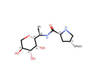 CCCCC[C@H]1CN[C@H](C(=O)N[C@H](C(C)C)[C@H]2OC[C@H](O)[C@@H](O)[C@H]2O)C1